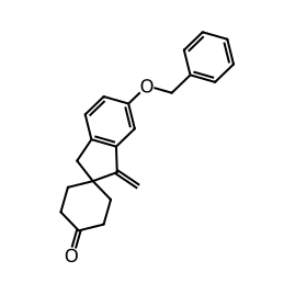 C=C1c2cc(OCc3ccccc3)ccc2CC12CCC(=O)CC2